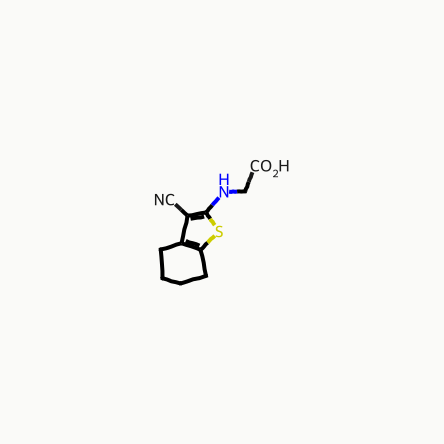 N#Cc1c(NCC(=O)O)sc2c1CCCC2